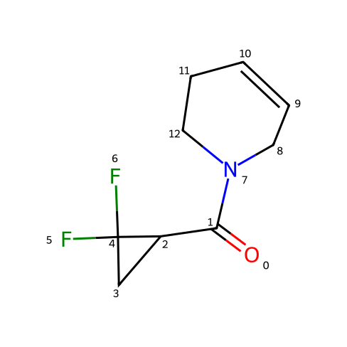 O=C(C1CC1(F)F)N1CC=CCC1